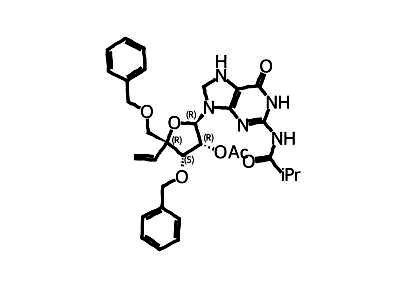 C=C[C@]1(COCc2ccccc2)O[C@@H](N2CNc3c2nc(NC(=O)C(C)C)[nH]c3=O)[C@H](OC(C)=O)[C@@H]1OCc1ccccc1